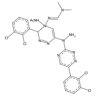 CC(=O)N[N+]1(N=CN(C)C)C=C(N(N)c2ncc(-c3cccc(Cl)c3Cl)nn2)N=NC1c1cccc(Cl)c1Cl